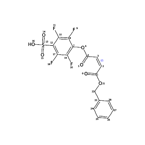 O=C(/C=C\C(=O)Oc1c(F)c(F)c(S(=O)(=O)O)c(F)c1F)OCc1ccccc1